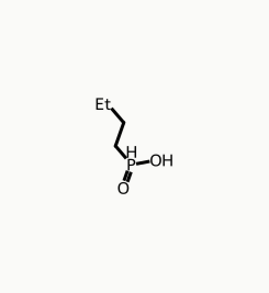 [CH2]CCC[PH](=O)O